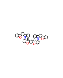 c1cc2c3c(c1)-n1c4c(cccc4c4ccc5c6ccccc6oc5c41)B3c1cc3c(cc1O2)Oc1cccc2c1B3c1cccc3c4ccc5c6ccccc6oc5c4n-2c13